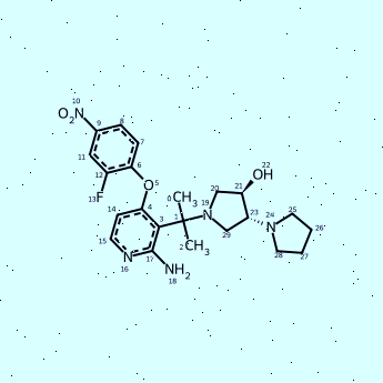 CC(C)(c1c(Oc2ccc([N+](=O)[O-])cc2F)ccnc1N)N1C[C@@H](O)[C@H](N2CCCC2)C1